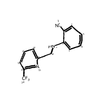 N#Cc1ccccc1NCc1cccc(C(F)(F)F)n1